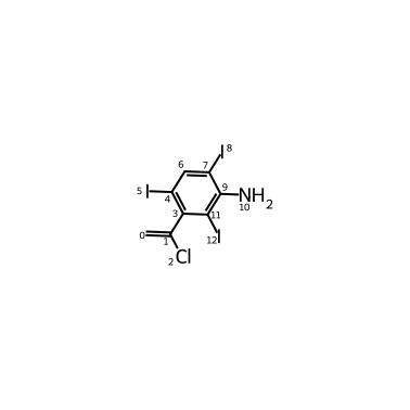 C=C(Cl)c1c(I)cc(I)c(N)c1I